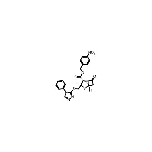 C[C@@]1(CSc2nnnn2-c2ccccc2)S[C@H]2CC(=O)N2[C@H]1C(=O)OCc1ccc([N+](=O)[O-])cc1